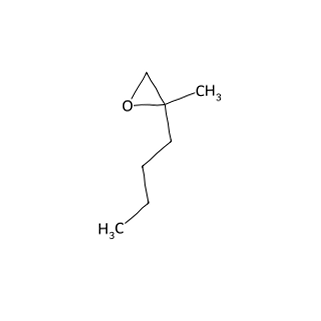 CCCCC1(C)CO1